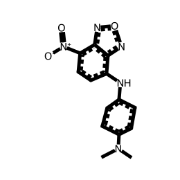 CN(C)c1ccc(Nc2ccc([N+](=O)[O-])c3nonc23)cc1